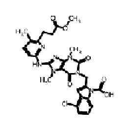 COC(=O)CCc1nc(Nc2nc3c(c(=O)n(Cc4cc5c(Cl)cccc5n4C(=O)O)c(=O)n3C)n2C)ccc1C